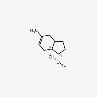 [3H]O[C@H]1CCC2CC(C)=CC[C@@]21C